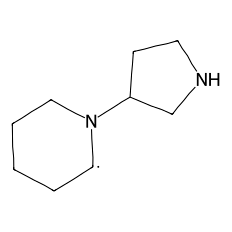 [CH]1CCCCN1C1CCNC1